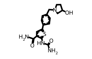 NC(=O)Nc1sc(-c2ccc(CN3CCC(O)C3)cc2)cc1C(N)=O